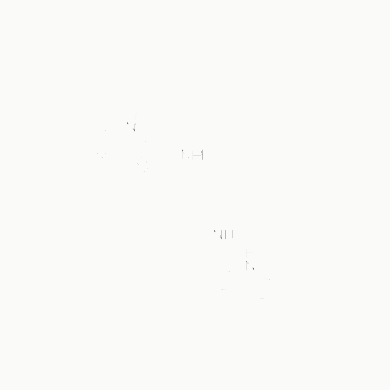 CC(NCCCNC(C)C(=O)NC(=O)c1ccccc1)C(=O)NC(=O)c1ccccc1